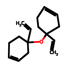 C=CC1(OC2(C=C)CC=CCC2)CC=CCC1